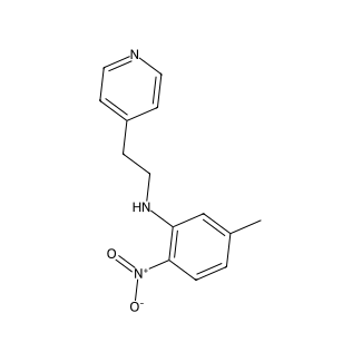 Cc1ccc([N+](=O)[O-])c(NCCc2ccncc2)c1